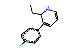 CCC1NC=CC=C1c1ccc(F)cc1